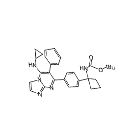 CC(C)(C)OC(=O)NC1(c2ccc(-c3nc4nccn4c(NC4CC4)c3-c3ccccc3)cc2)CCC1